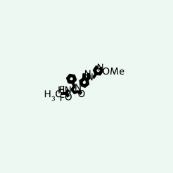 COc1cc(Cn2ncc3cc(N4C(=O)CC(NC(=O)C(C)(F)F)C4c4ccccc4)ccc32)ccn1